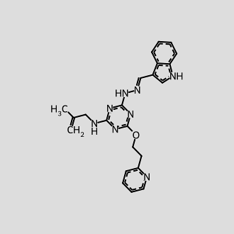 C=C(C)CNc1nc(N/N=C/c2c[nH]c3ccccc23)nc(OCCc2ccccn2)n1